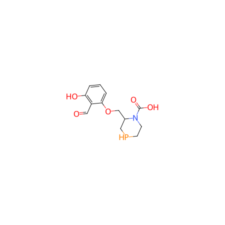 O=Cc1c(O)cccc1OCC1CPCCN1C(=O)O